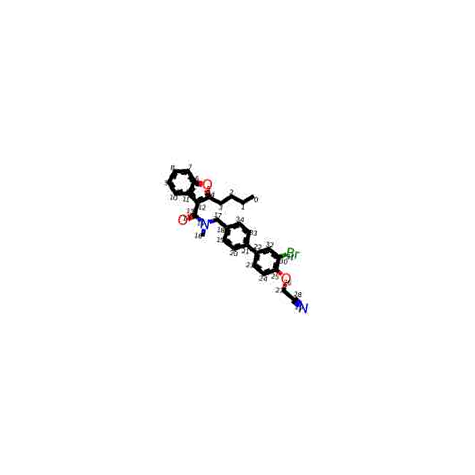 CCCCc1oc2ccccc2c1C(=O)N(C)Cc1ccc(-c2ccc(OCC#N)c(Br)c2)cc1